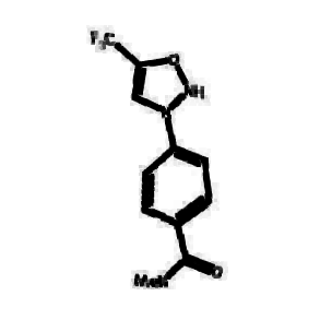 CNC(=O)c1ccc(N2C=C(C(F)(F)F)ON2)cc1